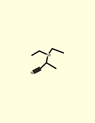 C[CH2][Sb]([CH2]C)[CH](C)C#N